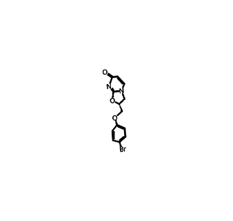 O=c1ccn2c(n1)O[C@H](COc1ccc(Br)cc1)C2